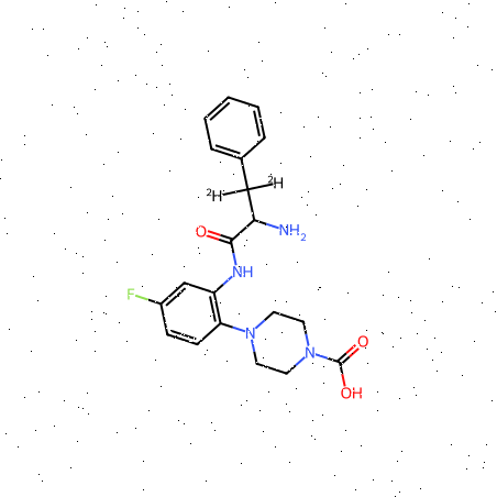 [2H]C([2H])(c1ccccc1)C(N)C(=O)Nc1cc(F)ccc1N1CCN(C(=O)O)CC1